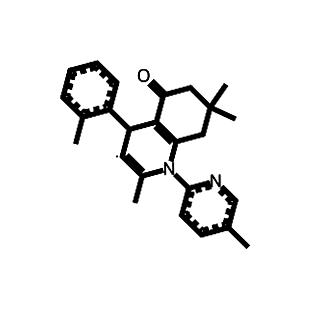 CC1=[C]C(c2ccccc2C)C2=C(CC(C)(C)CC2=O)N1c1ccc(C)cn1